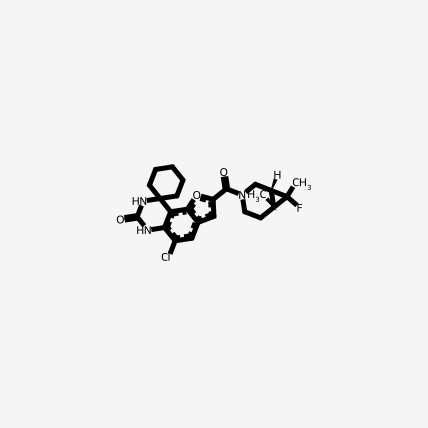 CC1(F)[C@H]2CN(C(=O)c3cc4cc(Cl)c5c(c4o3)C3(CCCCC3)NC(=O)N5)CC[C@]21C